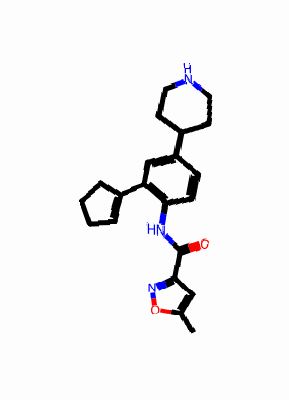 Cc1cc(C(=O)Nc2ccc(C3CCNCC3)cc2C2=CCCC2)no1